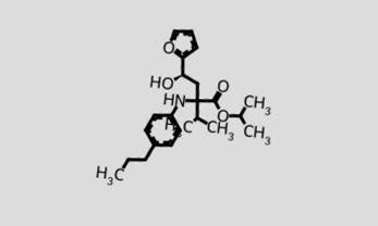 CCCc1ccc(NC(C[C@@H](O)c2ccco2)(C(=O)OC(C)C)C(C)C)cc1